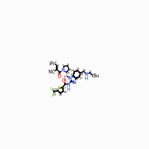 CC(C)/C=C(\C#N)C(=O)N1CCC[C@@H]1Cn1c(NC(=O)c2ccc(C(F)F)s2)nc2cc(CNCC(C)(C)C)ccc21